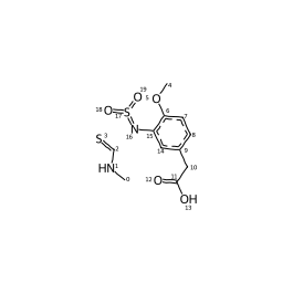 CNC=S.COc1ccc(CC(=O)O)cc1N=S(=O)=O